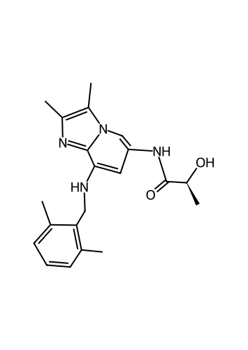 Cc1cccc(C)c1CNc1cc(NC(=O)[C@H](C)O)cn2c(C)c(C)nc12